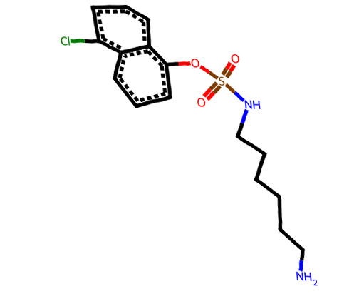 NCCCCCCNS(=O)(=O)Oc1cccc2c(Cl)cccc12